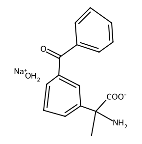 CC(N)(C(=O)[O-])c1cccc(C(=O)c2ccccc2)c1.O.[Na+]